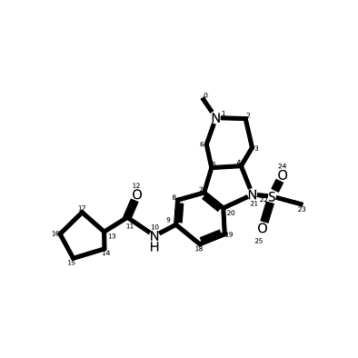 CN1CCC2C(C1)c1cc(NC(=O)C3CCCC3)ccc1N2S(C)(=O)=O